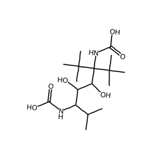 CC(C)C(NC(=O)O)C(O)C(O)C(NC(=O)O)(C(C)(C)C)C(C)(C)C